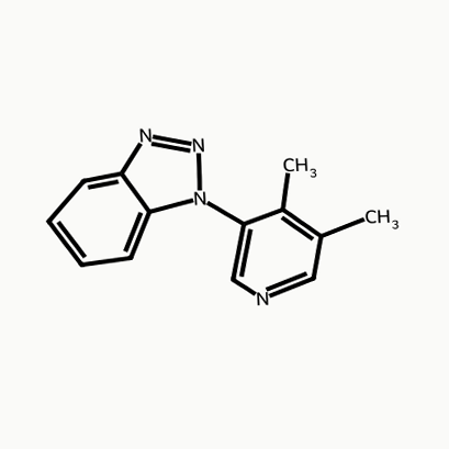 Cc1cncc(-n2nnc3ccccc32)c1C